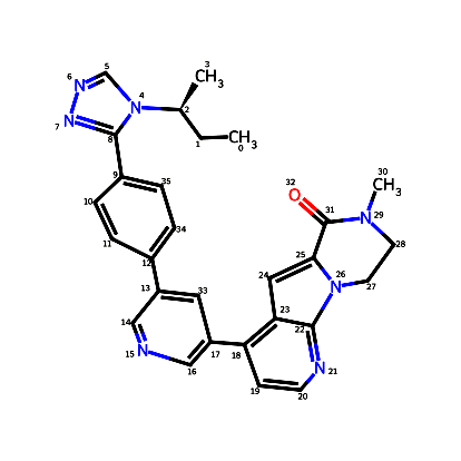 CC[C@H](C)n1cnnc1-c1ccc(-c2cncc(-c3ccnc4c3cc3n4CCN(C)C3=O)c2)cc1